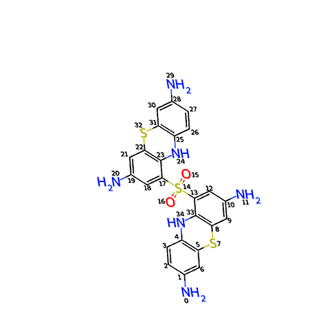 Nc1ccc2c(c1)Sc1cc(N)cc(S(=O)(=O)c3cc(N)cc4c3Nc3ccc(N)cc3S4)c1N2